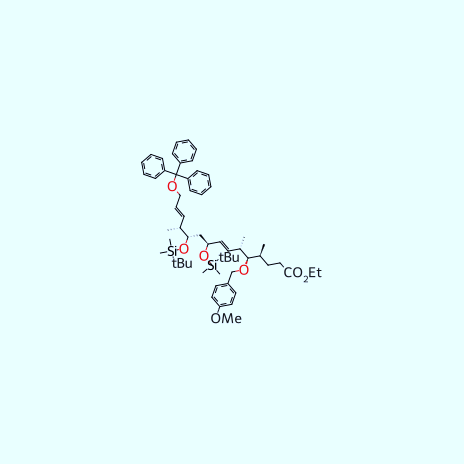 CCOC(=O)CC[C@H](C)[C@@H](OCc1ccc(OC)cc1)[C@@H](C)C=C[C@H](C[C@H](O[Si](C)(C)C(C)(C)C)[C@H](C)C=CCOC(c1ccccc1)(c1ccccc1)c1ccccc1)O[Si](C)(C)C(C)(C)C